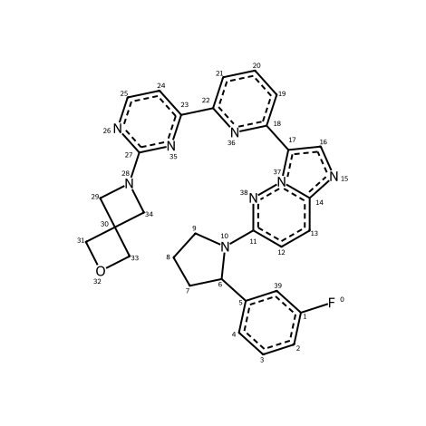 Fc1cccc(C2CCCN2c2ccc3ncc(-c4cccc(-c5ccnc(N6CC7(COC7)C6)n5)n4)n3n2)c1